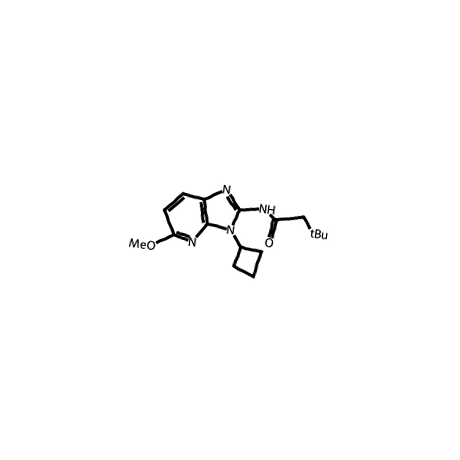 COc1ccc2nc(NC(=O)CC(C)(C)C)n(C3CCC3)c2n1